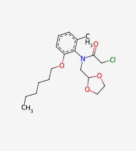 CCCCCCOc1cccc(C)c1N(CC1OCCO1)C(=O)CCl